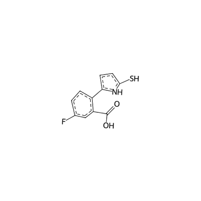 O=C(O)c1cc(F)ccc1-c1ccc(S)[nH]1